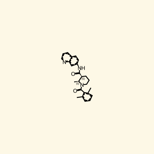 Cc1cccc(C)c1C(=O)N1CCC[C@H](C(=O)Nc2ccc3cccnc3c2)[C@@H]1C